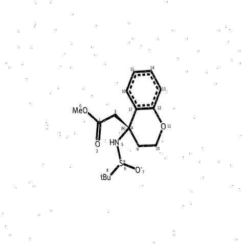 COC(=O)C[C@]1(N[S+]([O-])C(C)(C)C)CCOc2ccccc21